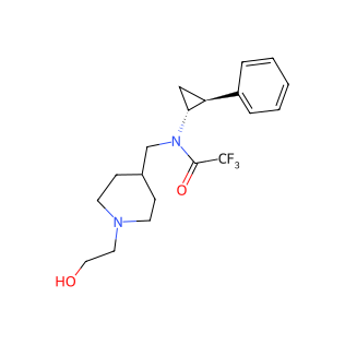 O=C(N(CC1CCN(CCO)CC1)[C@@H]1C[C@H]1c1ccccc1)C(F)(F)F